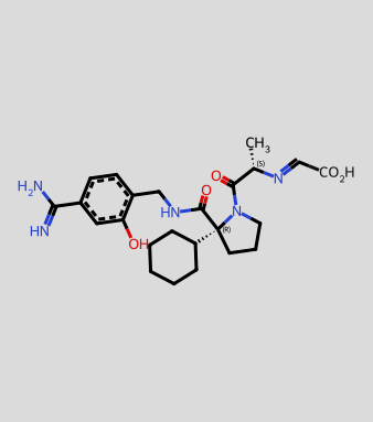 C[C@H](N=CC(=O)O)C(=O)N1CCC[C@]1(C(=O)NCc1ccc(C(=N)N)cc1O)C1CCCCC1